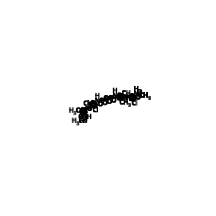 Cc1cc(COc2c(Cl)cc(NC(=O)CC(=O)OC(=O)CC(=O)Nc3cc(C)c(OCc4cc(Cl)cc(NS(C)(=O)=O)c4)c(C)c3)cc2Cl)cc(NS(C)(=O)=O)c1